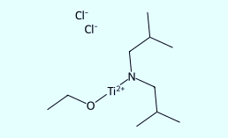 CC[O][Ti+2][N](CC(C)C)CC(C)C.[Cl-].[Cl-]